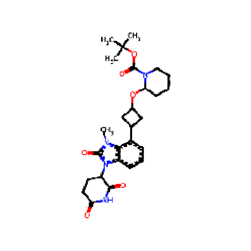 Cn1c(=O)n(C2CCC(=O)NC2=O)c2cccc(C3CC(OC4CCCCN4C(=O)OC(C)(C)C)C3)c21